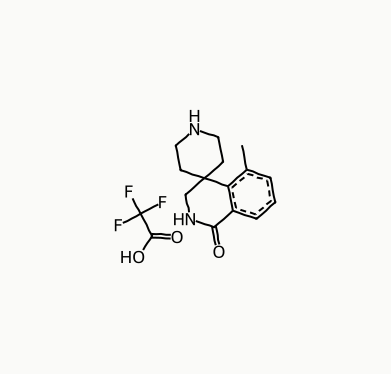 Cc1cccc2c1C1(CCNCC1)CNC2=O.O=C(O)C(F)(F)F